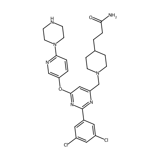 NC(=O)CCC1CCN(Cc2cc(Oc3ccc(N4CCNCC4)nc3)nc(-c3cc(Cl)cc(Cl)c3)n2)CC1